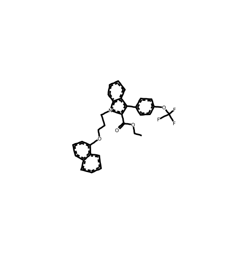 CCOC(=O)c1c(-c2ccc(OC(F)(F)F)cc2)c2ccccc2n1CCCOc1cccc2ccccc12